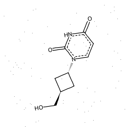 O=c1ccn([C@H]2C[C@H](CO)C2)c(=O)[nH]1